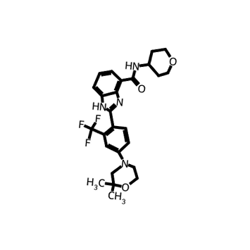 CC1(C)CN(c2ccc(-c3nc4c(C(=O)NC5CCOCC5)cccc4[nH]3)c(C(F)(F)F)c2)CCO1